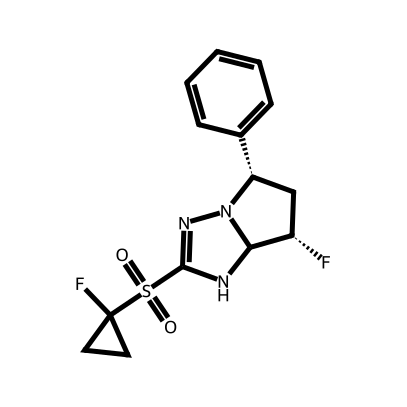 O=S(=O)(C1=NN2C(N1)[C@@H](F)C[C@H]2c1ccccc1)C1(F)CC1